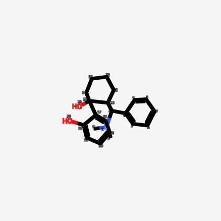 CN(C)C(c1ccccc1)C1CCCCC1(O)c1ccccc1O